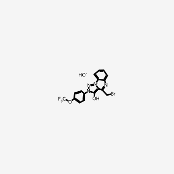 Oc1c2c(CBr)nc3ccccc3[n+]2nn1-c1ccc(OC(F)(F)F)cc1.[OH-]